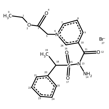 CCOC(=O)C[n+]1cccc(C(=O)N(N)S(=O)(=O)C(C)c2ccccc2)c1.[Br-]